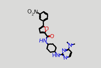 CN(C)c1ccnc(NC2CCC(NC(=O)c3ccc(-c4cccc([N+](=O)[O-])c4)o3)CC2)n1